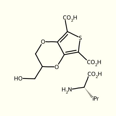 CC(C)[C@H](N)C(=O)O.O=C(O)c1sc(C(=O)O)c2c1OCC(CO)O2